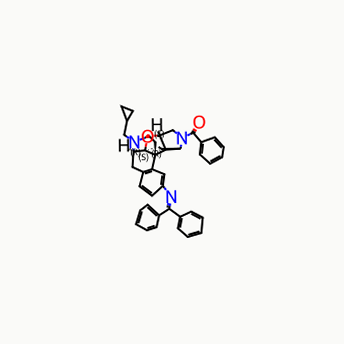 O=C(c1ccccc1)N1C[C@H]2O[C@@]34CCC1C2[C@@]31CCN(CC2CC2)[C@@H]4Cc2ccc(N=C(c3ccccc3)c3ccccc3)cc21